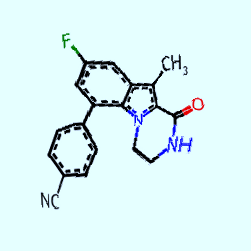 Cc1c2n(c3c(-c4ccc(C#N)cc4)cc(F)cc13)CCNC2=O